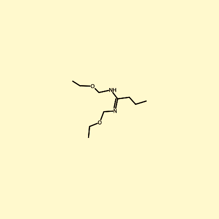 CCCC(=NCOCC)NCOCC